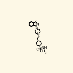 CS(=N)(=O)C1CCC(CCN2CCN(c3nsc4ccccc34)CC2)CC1